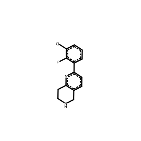 Fc1c(Cl)cccc1-c1ccc2c(n1)CCNC2